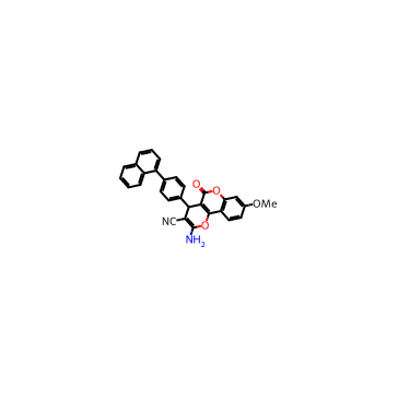 COc1ccc2c3c(c(=O)oc2c1)C(c1ccc(-c2cccc4ccccc24)cc1)C(C#N)=C(N)O3